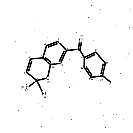 CCC1(C(F)(F)F)C=Cc2ccc(C(=O)c3ccc(C)cc3)cc2O1